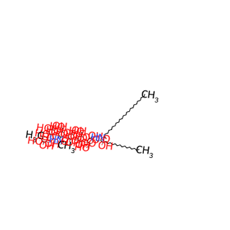 CCCCCCCCCCCCC/C=C/[C@@H](O)[C@H](CO[C@@H]1OC(CO)[C@@H](O[C@@H]2OC(CO)[C@H](O)[C@H](O[C@H]3OC(CO)[C@H](O)[C@H](O[C@@H]4OC(CO)[C@H](O)[C@H](O[C@@H]5OC(CO)[C@H](O)[C@H](O)C5O[C@H]5OC(C)[C@@H](O)C(O)[C@@H]5O)C4NC(C)=O)C3O)C2O)[C@H](O)C1O)NC(=O)CCCCCCCCCCCCCCCCCCCCCCC